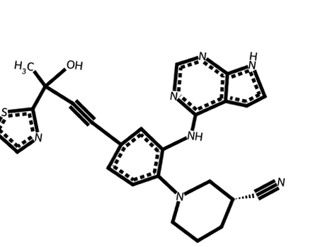 CC(O)(C#Cc1ccc(N2CCC[C@@H](C#N)C2)c(Nc2ncnc3[nH]ccc23)c1)c1nccs1